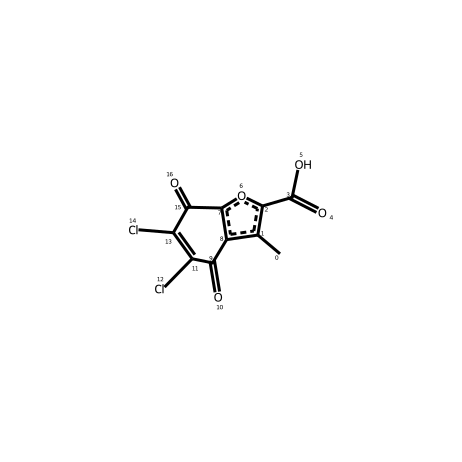 Cc1c(C(=O)O)oc2c1C(=O)C(Cl)=C(Cl)C2=O